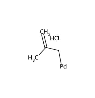 C=C(C)[CH2][Pd].Cl